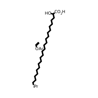 C=COC(C)=O.CC(C)CCCCCCCCCCCCCCCCCCCCCCC(O)C(=O)O